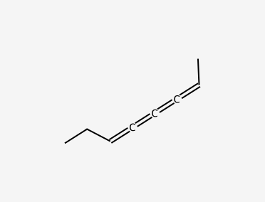 CC=C=C=C=CCC